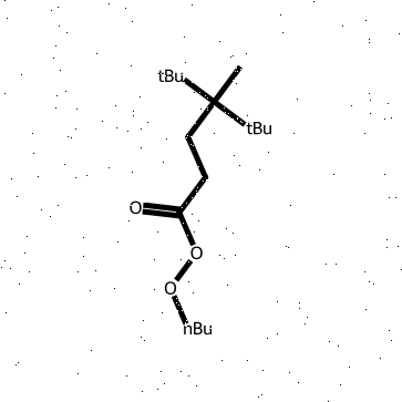 CCCCOOC(=O)CCC(C)(C(C)(C)C)C(C)(C)C